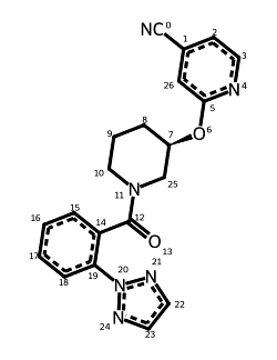 N#Cc1ccnc(O[C@@H]2CCCN(C(=O)c3ccccc3-n3nccn3)C2)c1